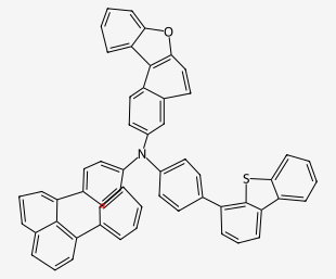 c1ccc(-c2cccc3cccc(-c4ccc(N(c5ccc(-c6cccc7c6sc6ccccc67)cc5)c5ccc6c(ccc7oc8ccccc8c76)c5)cc4)c23)cc1